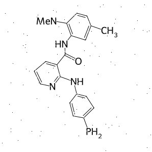 CNc1ccc(C)cc1NC(=O)c1cccnc1Nc1ccc(P)cc1